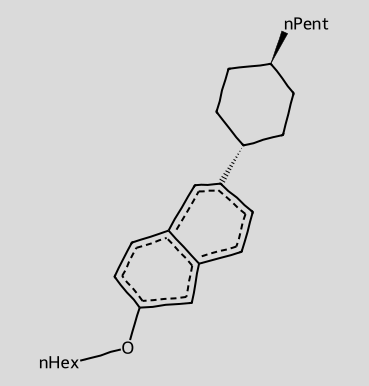 CCCCCCOc1ccc2cc([C@H]3CC[C@H](CCCCC)CC3)ccc2c1